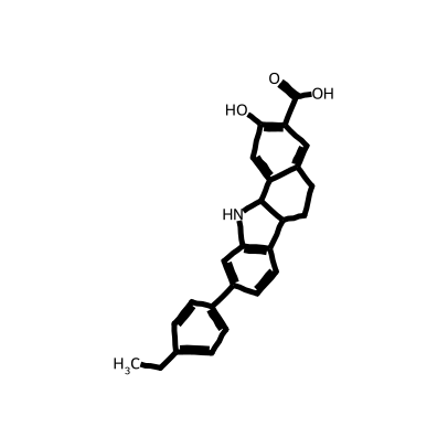 CCc1ccc(-c2ccc3c(c2)NC2c4cc(O)c(C(=O)O)cc4CCC32)cc1